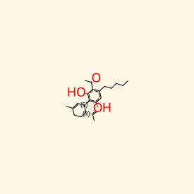 C=C(C)[C@@H]1CCC(C)=C[C@H]1c1c(O)cc(CCCCC)c(C(C)=O)c1O